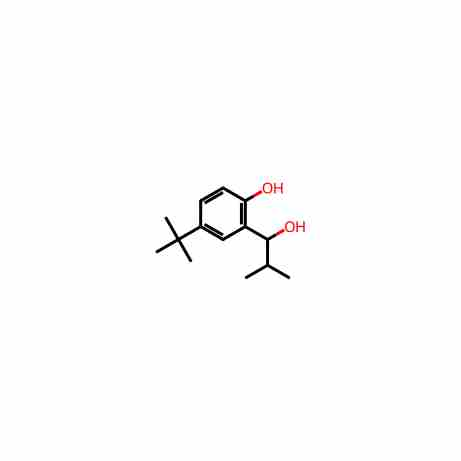 CC(C)C(O)c1cc(C(C)(C)C)ccc1O